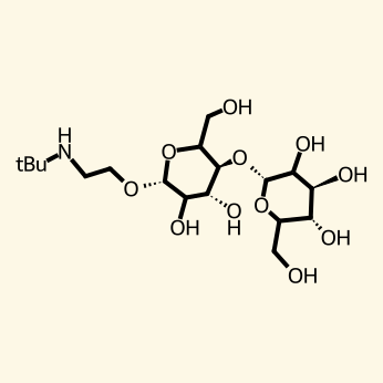 CC(C)(C)NCCO[C@@H]1OC(CO)[C@@H](O[C@H]2OC(CO)[C@@H](O)[C@H](O)C2O)[C@H](O)C1O